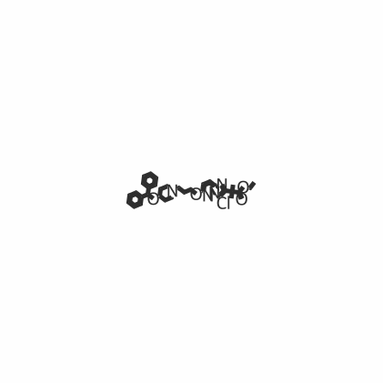 CCOC(=O)C(C)(C)c1nc2ccc(OCCCN3CCC(OC(c4ccccc4)c4ccccc4)CC3)nn2c1Cl